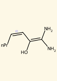 CCC/C=C\C(O)=C(N)N